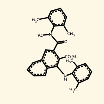 CCOC(=O)c1c(C(=O)N(C(C)=O)c2c(C)cccc2C)cc2ccccc2c1Nc1c(C)cccc1C